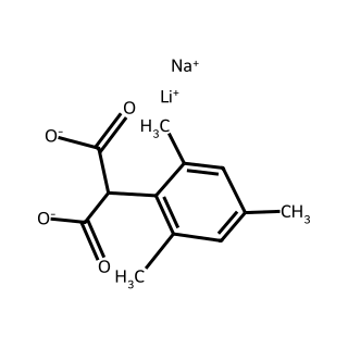 Cc1cc(C)c(C(C(=O)[O-])C(=O)[O-])c(C)c1.[Li+].[Na+]